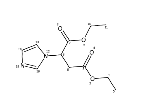 CCOC(=O)CC(C(=O)OCC)n1ccnc1